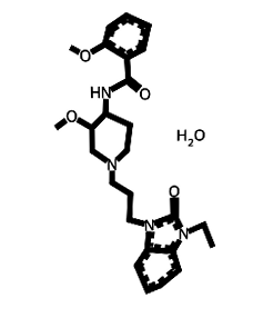 CCn1c(=O)n(CCCN2CCC(NC(=O)c3ccccc3OC)C(OC)C2)c2ccccc21.O